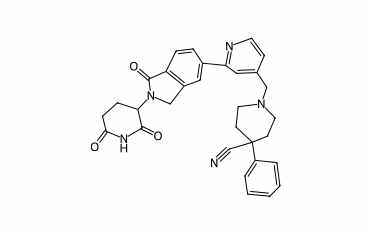 N#CC1(c2ccccc2)CCN(Cc2ccnc(-c3ccc4c(c3)CN(C3CCC(=O)NC3=O)C4=O)c2)CC1